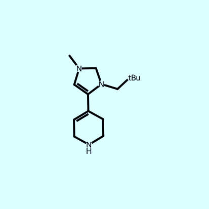 CN1C=C(C2=CCNCC2)N(CC(C)(C)C)C1